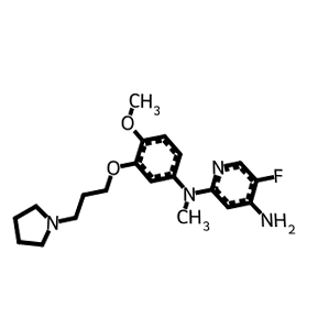 COc1ccc(N(C)c2cc(N)c(F)cn2)cc1OCCCN1CCCC1